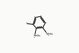 [CH2]c1cccc(NC(C)=O)c1NC(C)=O